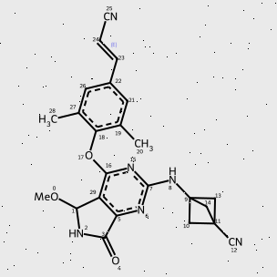 COC1NC(=O)c2nc(NC34CC(C#N)(C3)C4)nc(Oc3c(C)cc(/C=C/C#N)cc3C)c21